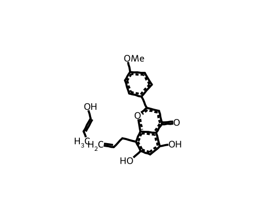 C=CCc1c(O)cc(O)c2c(=O)cc(-c3ccc(OC)cc3)oc12.CC=CO